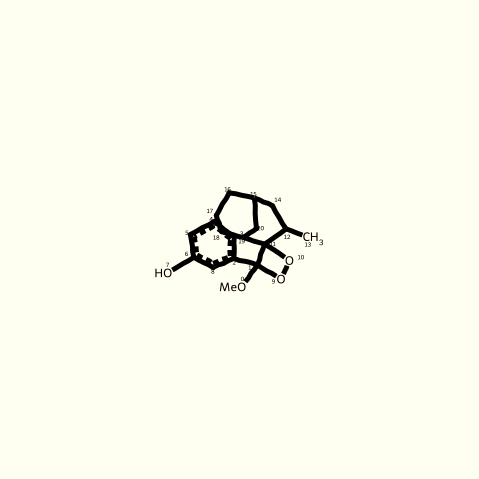 COC1(c2cccc(O)c2)OOC12C(C)CC1CCCC2C1